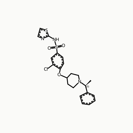 C[C@@H](c1ccccc1)N1CCC(Oc2ccc(S(=O)(=O)Nc3nccs3)cc2Cl)CC1